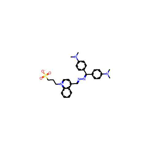 CN(C)c1ccc(C(=N/N=C/c2cc[n+](CCCS(=O)(=O)[O-])c3ccccc23)c2ccc(N(C)C)cc2)cc1